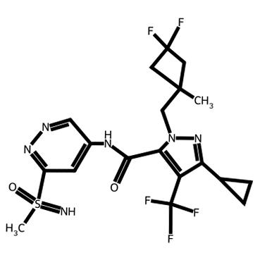 CC1(Cn2nc(C3CC3)c(C(F)(F)F)c2C(=O)Nc2cnnc(S(C)(=N)=O)c2)CC(F)(F)C1